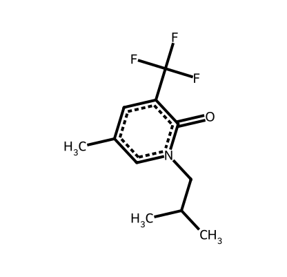 Cc1cc(C(F)(F)F)c(=O)n(CC(C)C)c1